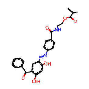 C=C(C)C(=O)OCCNC(=O)c1ccc(/N=N/c2cc(C(=O)c3ccccc3)c(O)cc2O)cc1